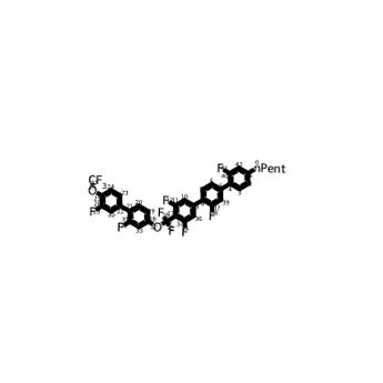 CCCCCc1ccc(-c2ccc(-c3cc(F)c(C(F)(F)Oc4ccc(-c5ccc(OC(F)(F)F)c(F)c5)c(F)c4)c(F)c3)c(F)c2)c(F)c1